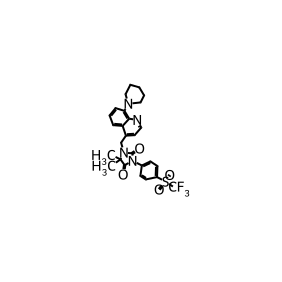 CC1(C)C(=O)N(c2ccc(S(=O)(=O)C(F)(F)F)cc2)C(=O)N1Cc1ccnc2c(N3CCCCC3)cccc12